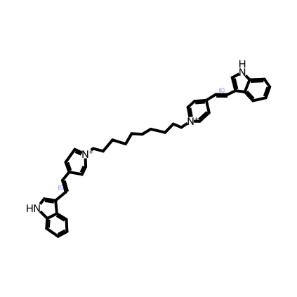 C(=C\c1c[nH]c2ccccc12)/c1cc[n+](CCCCCCCCCC[n+]2ccc(/C=C/c3c[nH]c4ccccc34)cc2)cc1